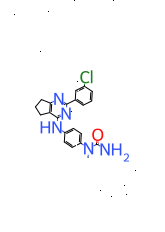 CN(C(N)=O)c1ccc(Nc2nc(-c3cccc(Cl)c3)nc3c2CCC3)cc1